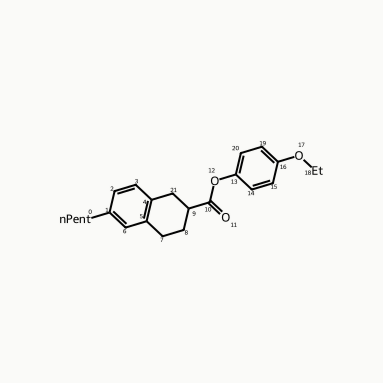 CCCCCc1ccc2c(c1)CCC(C(=O)Oc1ccc(OCC)cc1)C2